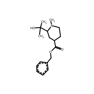 CN1CCC(C(=O)OCc2ccccc2)CC1C(C)(C)O